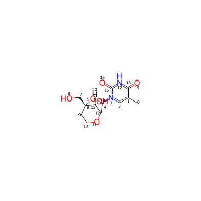 Cc1cn([C@@H]2O[C@@]3(CO)CCOC2[C@H]3O)c(=O)[nH]c1=O